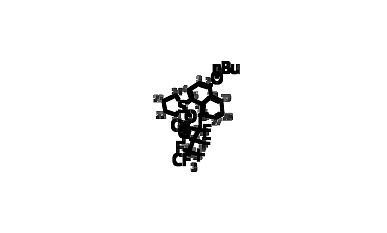 CCCCOc1ccc(S2(OS(=O)(=O)C(F)(F)C(F)(F)C(F)(F)C(F)(F)F)CCCC2)c2ccccc12